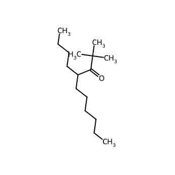 CCCCCCC(CCCC)C(=O)C(C)(C)C